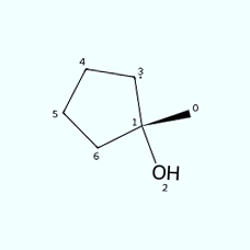 C[C@]1(O)[CH]CCC1